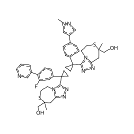 CC1(CO)Cc2nnc(C3(c4ccc(-c5cccnc5)c(F)c4)CC3)n2CCS1.Cn1cc(-c2ccc(C3(c4nnc5n4CCSC(C)(CO)C5)CC3)cc2)cn1